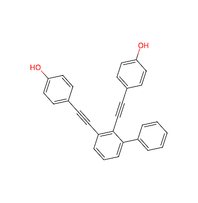 Oc1ccc(C#Cc2cccc(-c3ccccc3)c2C#Cc2ccc(O)cc2)cc1